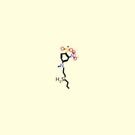 CCC[SiH2]CCCN(C)c1ccc(S(C)(=O)=O)c([N+](=O)[O-])c1